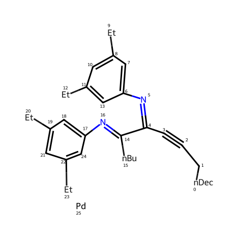 CCCCCCCCCCCC#CC(=Nc1cc(CC)cc(CC)c1)C(CCCC)=Nc1cc(CC)cc(CC)c1.[Pd]